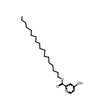 CCCCCCCCCCCCCCCCCCOC(=O)c1cc(O)ccn1